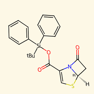 CC(C)(C)[Si](OC(=O)C1=CS[C@@H]2CC(=O)N12)(c1ccccc1)c1ccccc1